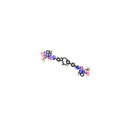 C=C1/C=C(/c2ccc(-c3c[nH]c([C@@H]4C[C@@H]5CCCC[C@@H]5N4C(=O)[C@H](CCSC)NC(=O)OC)n3)cc2)C(=C)CCc2ccc(c(-c3ccc(-c4c[nH]c([C@@H]5C[C@@H]6CCCC[C@@H]6N5C(=O)[C@H](CCSC)NC(=O)OC)n4)cc3)c2)CC1